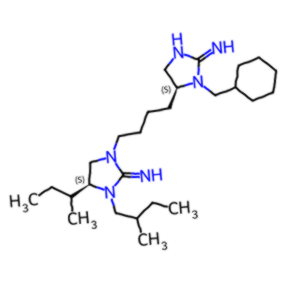 CCC(C)CN1C(=N)N(CCCC[C@H]2CNC(=N)N2CC2CCCCC2)C[C@@H]1C(C)CC